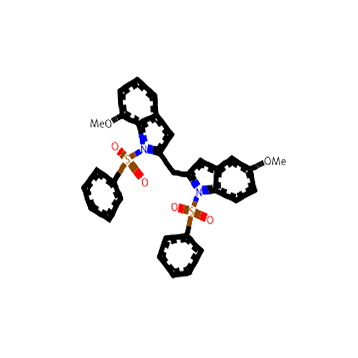 COc1ccc2c(c1)cc(Cc1cc3cccc(OC)c3n1S(=O)(=O)c1ccccc1)n2S(=O)(=O)c1ccccc1